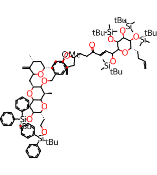 C=CCC[C@@H]1OC(C(/C=C/C(=O)CCC2CC(=C)[C@H](CC[C@H]3C[C@@H](C)C(=C)C(C[C@@H]4OC5CC(O[Si](c6ccccc6)(c6ccccc6)C(C)(C)C)[C@@H](CCO[Si](c6ccccc6)(c6ccccc6)C(C)(C)C)OC5[C@H](C)C4OCc4ccc(OC)cc4)O3)O2)O[Si](C)(C)C(C)(C)C)[C@@H](O[Si](C)(C)C(C)(C)C)[C@@H](O[Si](C)(C)C(C)(C)C)[C@H]1O[Si](C)(C)C(C)(C)C